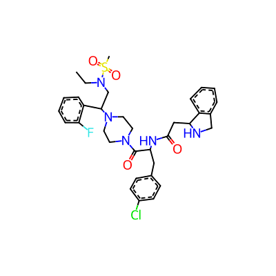 CCN(CC(c1ccccc1F)N1CCN(C(=O)C(Cc2ccc(Cl)cc2)NC(=O)CC2NCc3ccccc32)CC1)S(C)(=O)=O